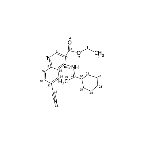 CCOC(=O)c1cnc2ccc(C#N)cc2c1NC(C)C1CCCCC1